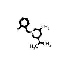 CC1C[C@@H](C(C)C)CN(Cc2ccccc2F)C1